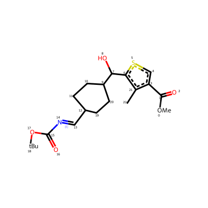 COC(=O)c1csc(C(O)C2CCC(/C=N/C(=O)OC(C)(C)C)CC2)c1C